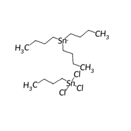 CCC[CH2][Sn]([CH2]CCC)[CH2]CCC.CCC[CH2][Sn]([Cl])([Cl])[Cl]